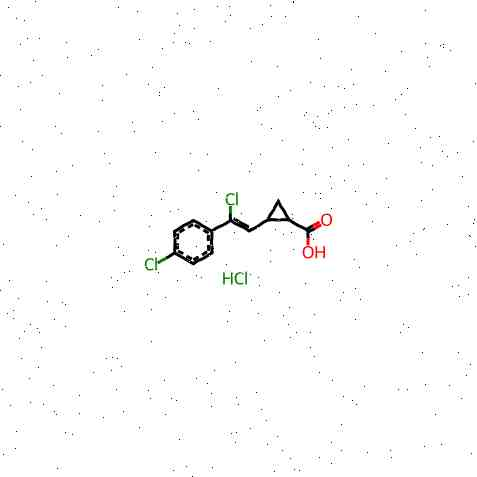 Cl.O=C(O)C1CC1C=C(Cl)c1ccc(Cl)cc1